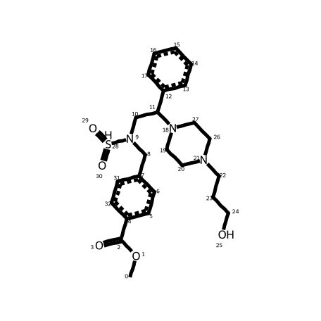 COC(=O)c1ccc(CN(CC(c2ccccc2)N2CCN(CCCO)CC2)[SH](=O)=O)cc1